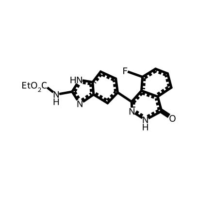 CCOC(=O)Nc1nc2cc(-c3n[nH]c(=O)c4cccc(F)c34)ccc2[nH]1